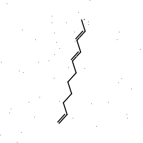 [CH2]C=CC=CCCCCC=C